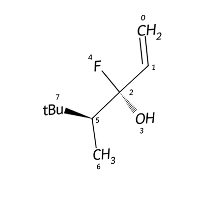 C=C[C@](O)(F)[C@@H](C)C(C)(C)C